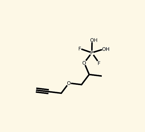 C#CCOCC(C)OP(O)(O)(F)F